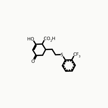 O=C1C=C(O)C(C(=O)O)C(CCSc2ccccc2C(F)(F)F)C1